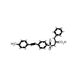 Cc1ccc(C#Cc2ccc(S(=O)(=O)CC(Cc3ccccc3)C(=O)O)cc2)cc1